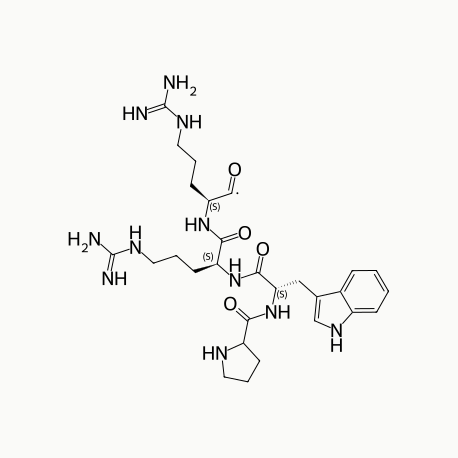 N=C(N)NCCC[C@@H]([C]=O)NC(=O)[C@H](CCCNC(=N)N)NC(=O)[C@H](Cc1c[nH]c2ccccc12)NC(=O)C1CCCN1